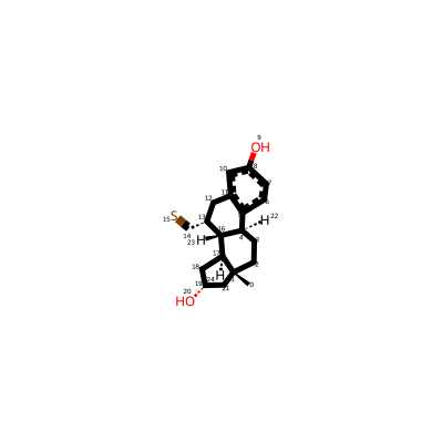 C[C@]12CC[C@@H]3c4ccc(O)cc4C[C@@H](C=S)[C@H]3[C@@H]1C[C@@H](O)C2